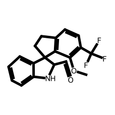 COc1c(C(F)(F)F)ccc2c1C1(CC2)c2ccccc2NC1C=O